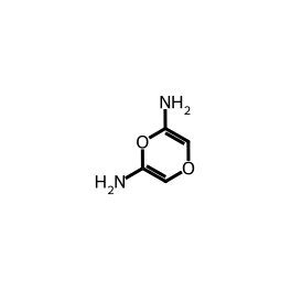 NC1=COC=C(N)O1